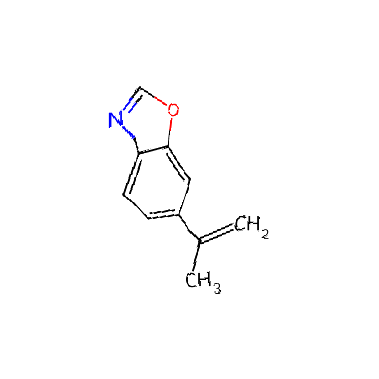 C=C(C)c1ccc2ncoc2c1